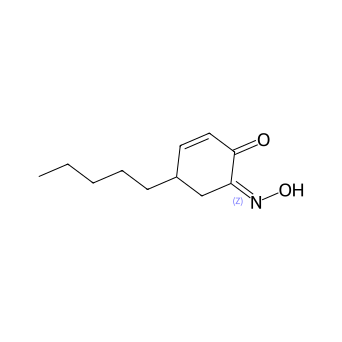 CCCCCC1C=CC(=O)/C(=N\O)C1